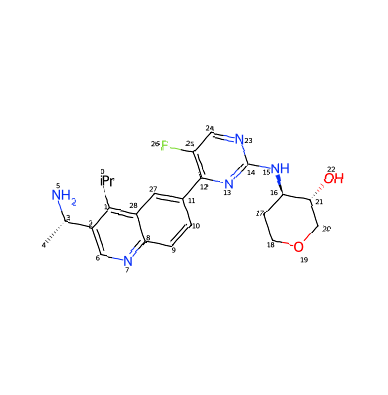 CC(C)c1c([C@H](C)N)cnc2ccc(-c3nc(N[C@@H]4CCOC[C@H]4O)ncc3F)cc12